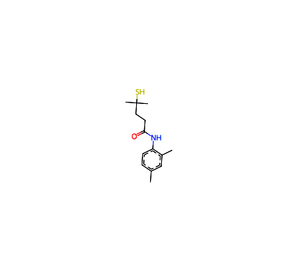 Cc1ccc(NC(=O)CCC(C)(C)S)c(C)c1